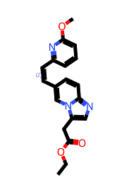 CCOC(=O)Cc1cnc2ccc(/C=C\c3cccc(OC)n3)cn12